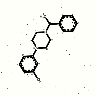 CC(c1ccccc1)N1CCN(c2cccc(Cl)c2)CC1